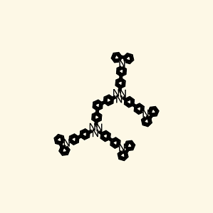 c1cc(-c2ccc(-c3nc(-c4ccc(-c5ccc(-n6c7ccccc7c7ccccc76)cc5)cc4)nc(-c4ccc(-c5ccc(-n6c7ccccc7c7ccccc76)cc5)cc4)n3)cc2)cc(-c2ccc(-c3nc(-c4ccc(-c5ccc(-n6c7ccccc7c7ccccc76)cc5)cc4)nc(-c4ccc(-c5ccc(-n6c7ccccc7c7ccccc76)cc5)cc4)n3)cc2)c1